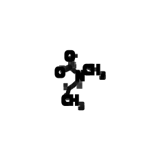 CCCN(C)C([O])=O